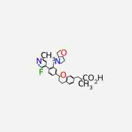 Cc1cc(-c2ccc(C3CCc4ccc(CC(C)C(=O)O)cc4O3)cc2CN2CCC3OCCC32)c(F)cn1